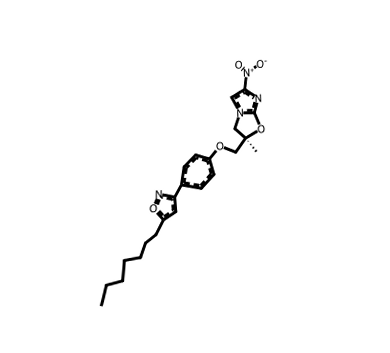 CCCCCCCc1cc(-c2ccc(OC[C@@]3(C)Cn4cc([N+](=O)[O-])nc4O3)cc2)no1